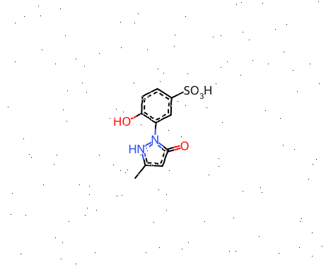 Cc1cc(=O)n(-c2cc(S(=O)(=O)O)ccc2O)[nH]1